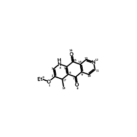 CCOC1=CNC2=C(C(=O)c3ccncc3C2=O)C1C